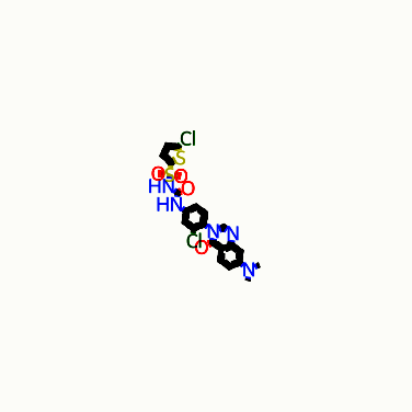 CN(C)c1ccc2c(=O)n(-c3ccc(NC(=O)NS(=O)(=O)c4ccc(Cl)s4)cc3Cl)cnc2c1